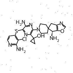 Nc1nc(N2CCC3(CC2)Cc2ncoc2[C@H]3N)c(C2(O)CC2)nc1Sc1ccnc(N)c1Cl